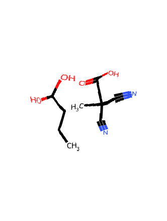 CC(C#N)(C#N)C(=O)O.CCCC(O)O